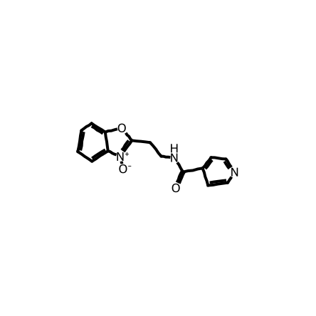 O=C(NCCc1oc2ccccc2[n+]1[O-])c1ccncc1